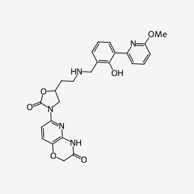 COc1cccc(-c2cccc(CNCCC3CN(c4ccc5c(n4)NC(=O)CO5)C(=O)O3)c2O)n1